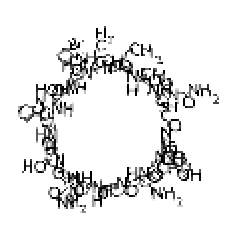 CCCC[C@H]1C(=O)N(C)[C@@H](CCCC)C(=O)N[C@@H](C)C(=O)N[C@H](C(=O)NCC(N)=O)CSCC(=O)N[C@@H](Cc2ccc(O)cc2)C(=O)N(C)[C@@H](C)C(=O)N[C@@H](CC(N)=O)C(=O)N2CCC[C@H]2C(=O)N[C@@H](Cc2cnc[nH]2)C(=O)N[C@@H](CCC(N)=O)C(=O)N2C[C@H](O)C[C@H]2C(=O)N[C@@H](Cc2c[nH]c3ccccc23)C(=O)N[C@@H](CO)C(=O)N[C@@H](Cc2c[nH]c3c(Br)cccc23)C(=O)N1C